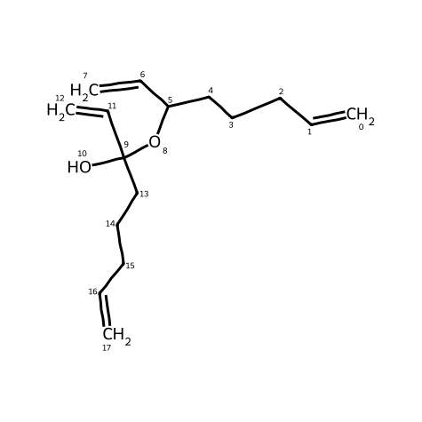 C=CCCCC(C=C)OC(O)(C=C)CCCC=C